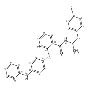 CC(Cc1ccc(F)cc1)NC(=O)c1cccnc1Oc1ccc(Nc2ccccn2)cc1